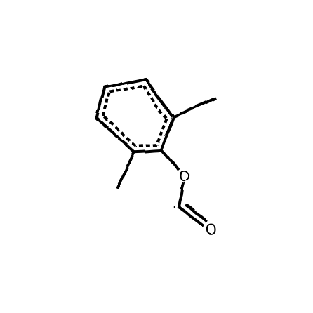 Cc1cccc(C)c1O[C]=O